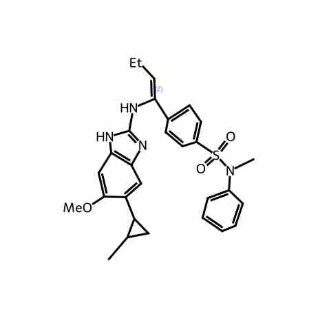 CC/C=C(\Nc1nc2cc(C3CC3C)c(OC)cc2[nH]1)c1ccc(S(=O)(=O)N(C)c2ccccc2)cc1